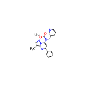 CC(C)(C)OC(=O)N(Cc1cccnc1)c1cc(-c2ccccc2)nc2c(C(F)(F)F)cnn12